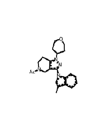 CC(=O)N1CCc2c(c(-n3cc(C)c4ccccc43)nn2C2CCOCC2)C1